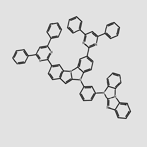 c1ccc(-c2cc(-c3ccccc3)nc(-c3ccc4cc5n(-c6cccc(-n7c8ccccc8n8c9ccccc9nc78)c6)c6ccc(-c7nc(-c8ccccc8)cc(-c8ccccc8)n7)cc6n5c4c3)n2)cc1